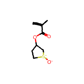 C=C(C)C(=O)OC1CC[S+]([O-])C1